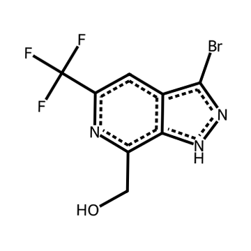 OCc1nc(C(F)(F)F)cc2c(Br)n[nH]c12